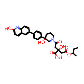 CCC(C)OC(=O)CC(O)(CC(=O)N1CCCC(O)(c2ccc(-c3ccc4nc(O)ccc4c3)cc2)C1)C(=O)O